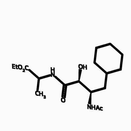 CCOC(=O)C(C)NC(=O)[C@@H](O)[C@@H](CC1CCCCC1)NC(C)=O